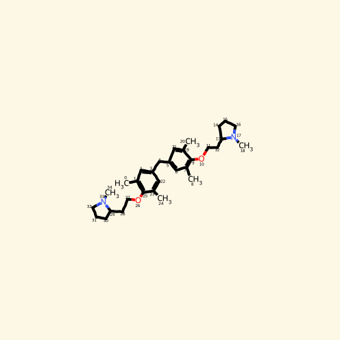 Cc1cc(Cc2cc(C)c(OCCC3CCCN3C)c(C)c2)cc(C)c1OCCC1CCCN1C